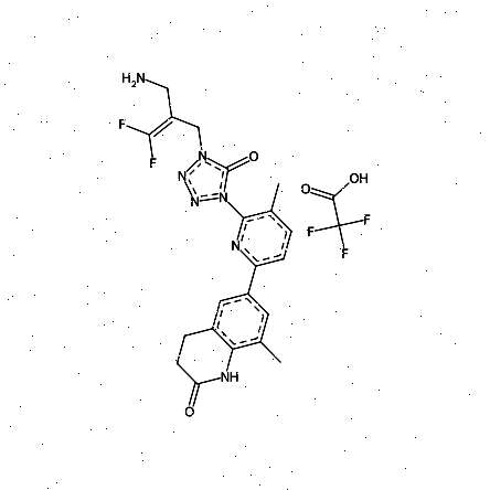 Cc1ccc(-c2cc(C)c3c(c2)CCC(=O)N3)nc1-n1nnn(CC(CN)=C(F)F)c1=O.O=C(O)C(F)(F)F